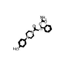 NC(=O)O[C@@H](CC(=O)N1CCN(c2ccc(O)cc2)CC1)c1ccccc1